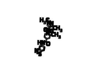 Cc1nn(C)cc1S(=O)(=O)N1CCC(C(=O)Nc2ccc3scnc3c2)CC1C